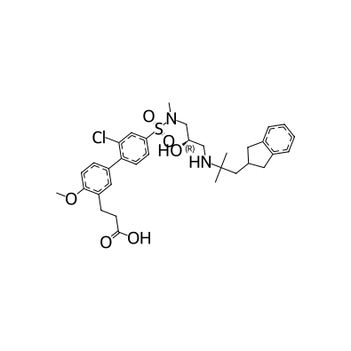 COc1ccc(-c2ccc(S(=O)(=O)N(C)C[C@H](O)CNC(C)(C)CC3Cc4ccccc4C3)cc2Cl)cc1CCC(=O)O